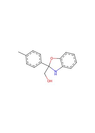 Cc1ccc(C2(CO)Nc3ccccc3O2)cc1